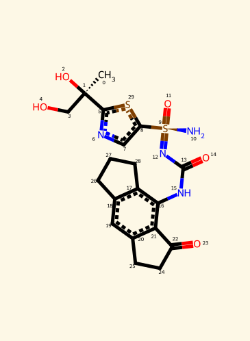 C[C@@](O)(CO)c1ncc([S@](N)(=O)=NC(=O)Nc2c3c(cc4c2C(=O)CC4)CCC3)s1